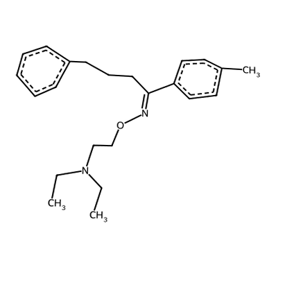 CCN(CC)CCON=C(CCCc1ccccc1)c1ccc(C)cc1